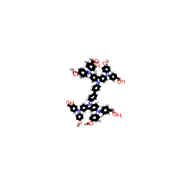 COc1ccc(N(c2ccc(CO)cc2)c2ccc3c(c2)c2cc(N(c4ccc(CO)cc4)c4ccc(OC)cc4)ccc2n3-c2ccc(-c3ccc(-n4c5ccc(N(c6ccc(CO)cc6)c6ccc(OC)cc6)cc5c5cc(N(c6ccc(CO)cc6)c6ccc(OC)cc6)ccc54)cc3)cc2)cc1